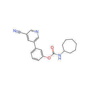 N#Cc1cncc(-c2cccc(OC(=O)NC3CCCCCC3)c2)c1